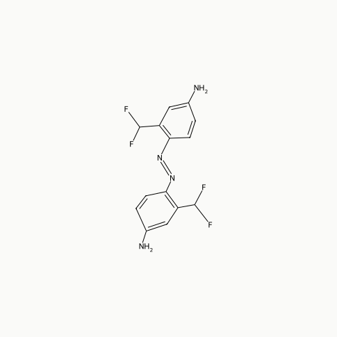 Nc1ccc(/N=N/c2ccc(N)cc2C(F)F)c(C(F)F)c1